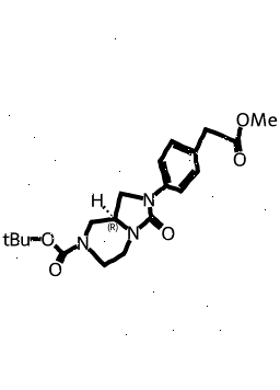 COC(=O)Cc1ccc(N2C[C@@H]3CN(C(=O)OC(C)(C)C)CCN3C2=O)cc1